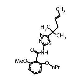 CC=CCC(C)(C)c1nnc(NC(=O)c2c(OC)cccc2OCCC)s1